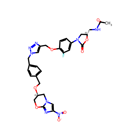 CC(=O)NC[C@H]1CN(c2ccc(OCc3cn(Cc4ccc(CO[C@@H]5COc6nc([N+](=O)[O-])cn6C5)cc4)nn3)c(F)c2)C(=O)O1